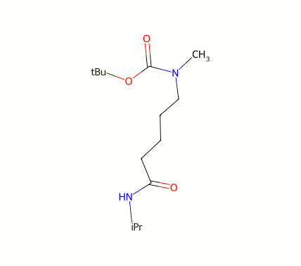 CC(C)NC(=O)CCCCN(C)C(=O)OC(C)(C)C